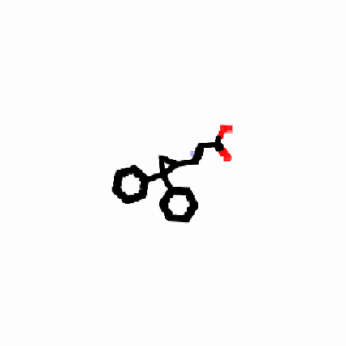 O=C(O)/C=C/C1CC1(c1ccccc1)c1ccccc1